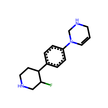 FC1CNCCC1c1ccc(N2C=CCNC2)cc1